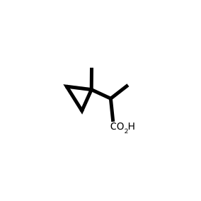 CC(C(=O)O)C1(C)CC1